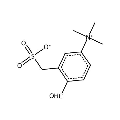 C[N+](C)(C)c1ccc(C=O)c(CS(=O)(=O)[O-])c1